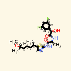 COC(C)(C)CCCC(C)c1cnc(NC(=O)C(C)NC(=O)C(O)c2cc(F)cc(F)c2)s1